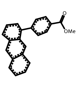 COC(=O)c1ccc(-c2cccc3cc4ccccc4cc23)cc1